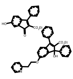 CCOC(=O)C1=C(c2ccccc2)c2ccc(O)cc2C1=O.CCOC(=O)C1=C(c2ccccc2)c2ccc(OCCc3ccccn3)cc2C1(O)c1ccccc1